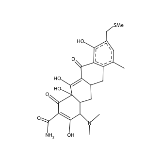 CSCc1cc(C)c2c(c1O)C(=O)C1=C(O)C3(O)C(=O)C(C(N)=O)=C(O)C(N(C)C)C3CC1C2